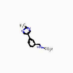 O=C(O)NCc1cccc(-c2cnc(C(F)(F)F)nc2)c1